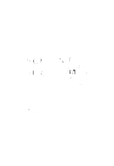 C/C(CCc1ccccc1)=C(/Cc1ccccc1)C1(O)CC(O)CCN1